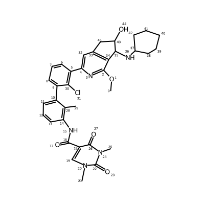 COc1nc(-c2cccc(-c3cccc(NC(=O)c4cn(C)c(=O)n(C)c4=O)c3C)c2Cl)cc2c1C(NC1CCCCC1)C(O)C2